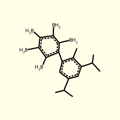 Bc1c(B)c(B)c(-c2cc(C(C)C)cc(C(C)C)c2C)c(B)c1B